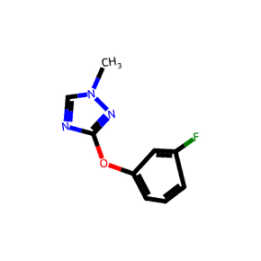 Cn1cnc(Oc2cccc(F)c2)n1